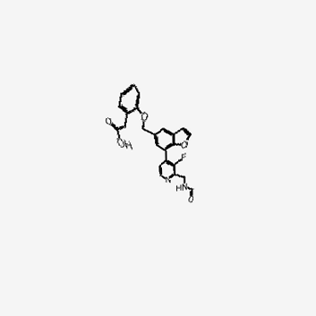 O=CNCc1nccc(-c2cc(COc3ccccc3CC(=O)O)cc3ccoc23)c1F